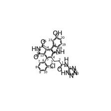 O=C(CCc1c(-c2ccccc2Cl)c2c(c3c1[nH]c1ccc(O)cc13)C(=O)NC2=O)Nc1nnn[nH]1